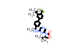 CC(C)[C@H]1COC(=O)N1c1cncc(N[C@@H](C)c2ccc(-c3ccc(C(F)(F)F)c(C(C)(C)C)c3)cc2)n1